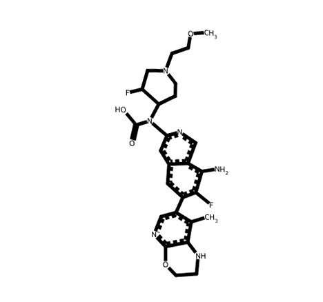 COCCN1CCC(N(C(=O)O)c2cc3cc(-c4cnc5c(c4C)NCCO5)c(F)c(N)c3cn2)C(F)C1